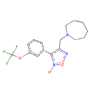 [O-][n+]1onc(CN2CCCCCC2)c1-c1cccc(OC(F)(F)F)c1